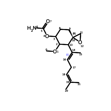 COC1C(OC(N)=O)CC[C@]2(CO2)C1/C(C)=C/CC=C(C)C